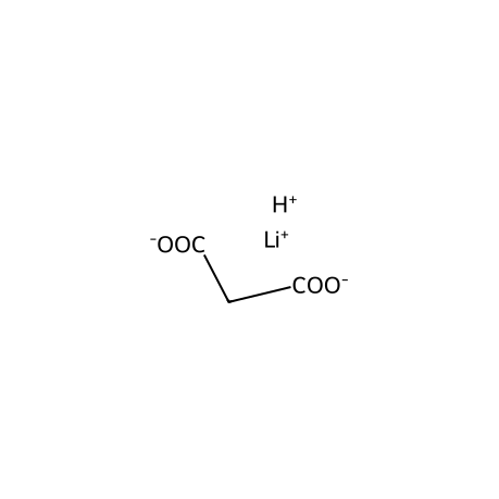 O=C([O-])CC(=O)[O-].[H+].[Li+]